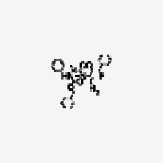 CC(NC(=O)[C@H](Cc1ccccc1)NC(=O)OCc1ccccc1)C(=O)C(F)c1ccccc1